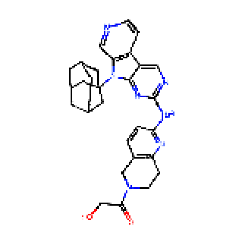 O=C(CO)N1CCc2nc(Nc3ncc4c5ccncc5n(C56CC7CC(CC(C7)C5)C6)c4n3)ccc2C1